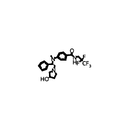 CN(c1ccc(C(=O)NCC(F)(F)C(F)(F)F)cc1)[C@H](CN1CC[C@H](O)C1)c1ccccc1